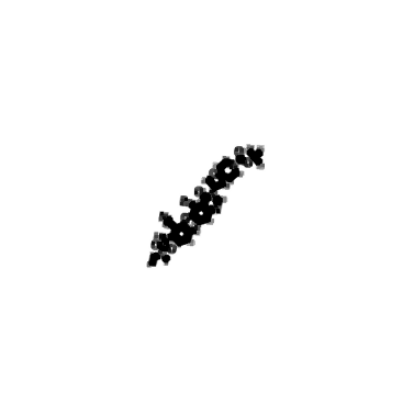 CCN(C)S(=O)(=O)Nc1ccc(F)c(Oc2ccc3ncn([C@H]4COC5(CCN(C(=O)OC(C)(C)C)CC5)C4)c(=O)c3c2Br)c1C#N